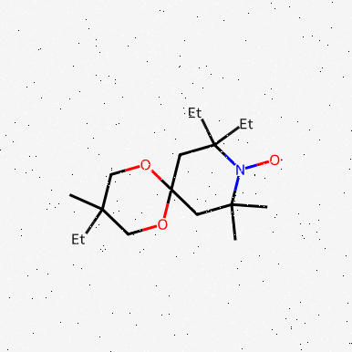 CCC1(C)COC2(CC(C)(C)N([O])C(CC)(CC)C2)OC1